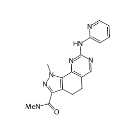 CNC(=O)c1nn(C)c2c1CCc1cnc(Nc3ccccn3)nc1-2